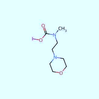 CN(CCN1CCOCC1)C(=O)OI